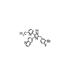 Cc1cccc(-c2[nH]c(Cc3ccc(F)c(Br)c3)nc2-c2ccc3ncccc3c2)n1